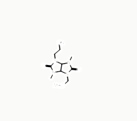 COCN1C(=O)N(C)C2C1N(C)C(=O)N2CCO